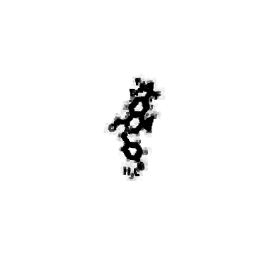 COc1ccc(CN2CC3(CC3)c3cc(C4(F)CC4(F)Br)ccc3C2C=O)cc1